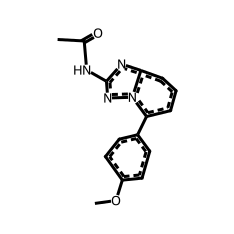 COc1ccc(-c2cccc3nc(NC(C)=O)nn23)cc1